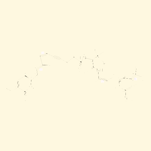 COC1=CC[C@@H]([C@@H](C)/C=C(C)/C=C\C#CCCC(=O)NC(C(=O)N/C=C\C[C@H](C/C=C(\C)Cl)OC(N)=O)C(C)(C)C)OC1=O